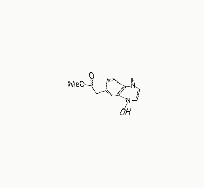 COC(=O)Cc1ccc2c(c1)N(O)C=CN2